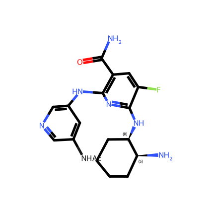 CC(=O)Nc1cncc(Nc2nc(N[C@@H]3CCCC[C@@H]3N)c(F)cc2C(N)=O)c1